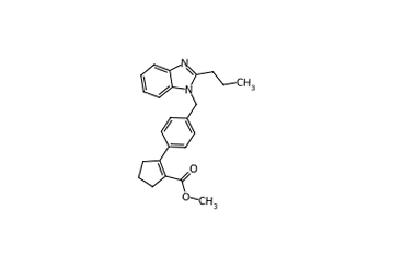 CCCc1nc2ccccc2n1Cc1ccc(C2=C(C(=O)OC)CCC2)cc1